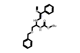 C=N/C(=C\NC(COCc1ccccc1)NC(=O)OC(C)(C)C)c1ccccc1